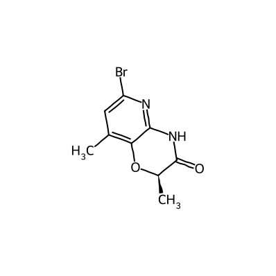 Cc1cc(Br)nc2c1O[C@H](C)C(=O)N2